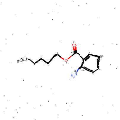 CCCCCCCCCCCCOC(=O)c1ccccc1N